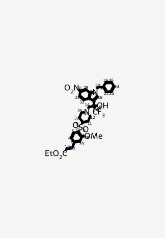 CCOC(=O)/C=C/c1ccc(S(=O)(=O)C2CCN(CC(O)(c3cn(Cc4ccccc4)c4cc([N+](=O)[O-])ccc34)C(F)(F)F)CC2)c(OC)c1